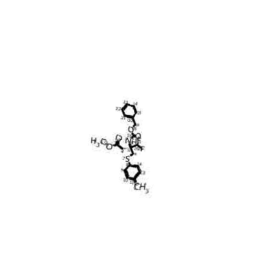 COC(=O)C[C@](CSc1ccc(C)cc1)(NC(=O)OCc1ccccc1)C(F)F